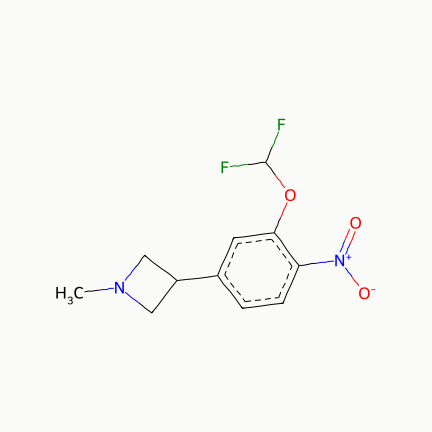 CN1CC(c2ccc([N+](=O)[O-])c(OC(F)F)c2)C1